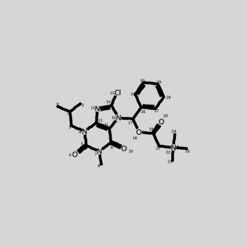 CC(C)Cn1c(=O)n(C)c(=O)c2c1nc(Cl)n2C(OC(=O)C[N+](C)(C)C)c1ccccc1